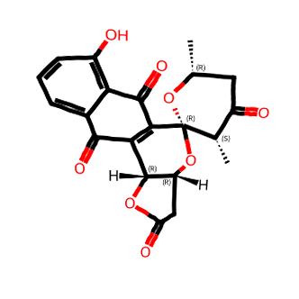 C[C@@H]1CC(=O)[C@H](C)[C@@]2(O1)O[C@@H]1CC(=O)O[C@@H]1C1=C2C(=O)c2c(O)cccc2C1=O